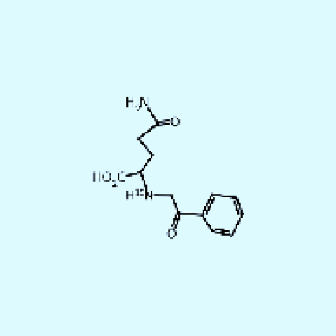 NC(=O)CCC([15NH]CC(=O)c1ccccc1)C(=O)O